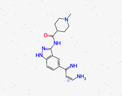 CN1CCC(C(=O)Nc2n[nH]c3ccc(C(=N)/C=C\N)cc23)CC1